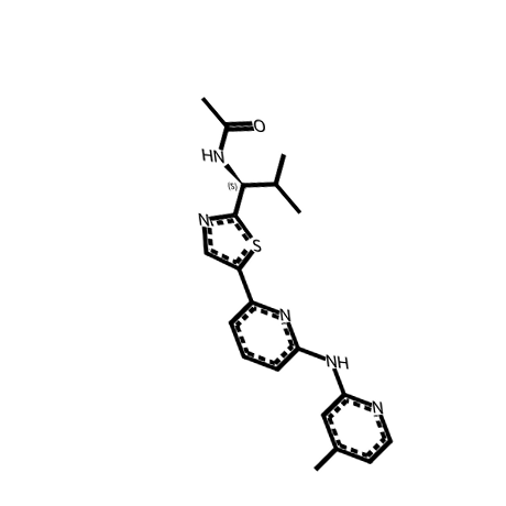 CC(=O)N[C@H](c1ncc(-c2cccc(Nc3cc(C)ccn3)n2)s1)C(C)C